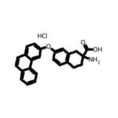 Cl.NC1(C(=O)O)CCc2ccc(Oc3ccc4ccc5ccccc5c4c3)cc2C1